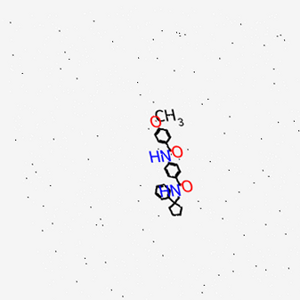 COc1ccc(C(=O)Nc2ccc(C(=O)NCC3(c4ccccc4)CCCC3)cc2)cc1